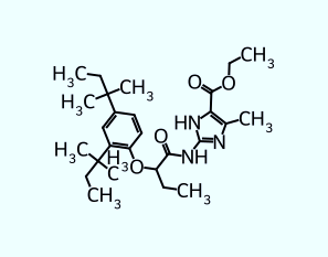 CCOC(=O)c1[nH]c(NC(=O)C(CC)Oc2ccc(C(C)(C)CC)cc2C(C)(C)CC)nc1C